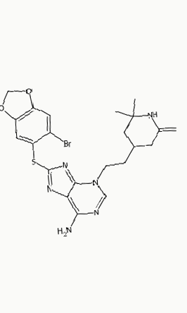 C=C1CC(CCn2cnc(N)c3nc(Sc4cc5c(cc4Br)OCO5)nc2-3)CC(C)(C)N1